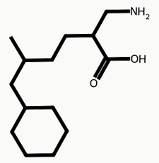 CC(CCC(CN)C(=O)O)CC1CCCCC1